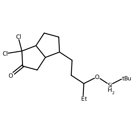 CCC(CCC1CCC2C1CC(=O)C2(Cl)Cl)O[SiH2]C(C)(C)C